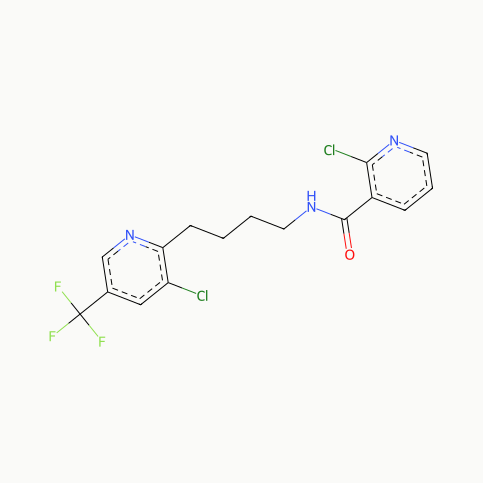 O=C(NCCCCc1ncc(C(F)(F)F)cc1Cl)c1cccnc1Cl